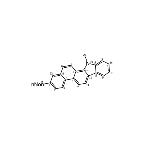 CCCCCCCCCc1ccc2c(ccc3c2ccc2c4ccccc4n(C)c32)c1